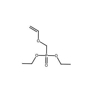 C=COCP(=O)(OCC)OCC